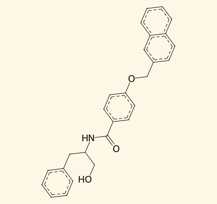 O=C(NC(CO)Cc1ccccc1)c1ccc(OCc2ccc3ccccc3c2)cc1